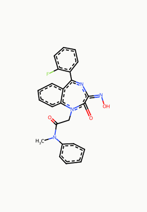 CN(C(=O)Cn1c(=O)c(=NO)nc(-c2ccccc2F)c2ccccc21)c1ccccc1